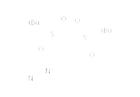 CC(C)(C)S(=O)(=O)C(C=[N+]=[N-])S(=O)(=O)C(C)(C)C